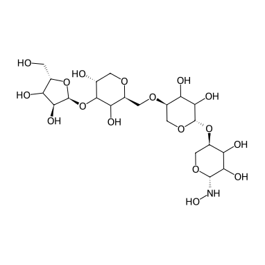 OC[C@@H]1O[C@@H](OC2C(O)[C@H](CO[C@@H]3CO[C@@H](O[C@@H]4CO[C@@H](NO)C(O)C4O)C(O)C3O)OC[C@H]2O)[C@@H](O)C1O